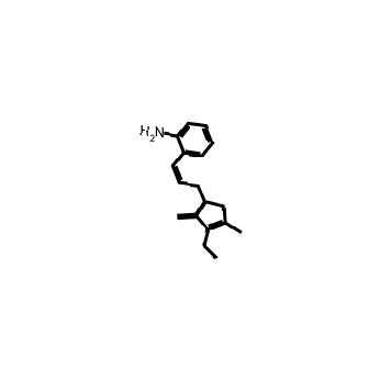 C=C1C(CC)=C(C)CC1C/C=C\c1ccccc1N